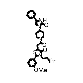 COc1cccc(C2SC(CC(=O)N3CCC(n4cc(-c5ccccc5)[nH]c4=O)CC3)C(=O)N2CCC(C)C)c1